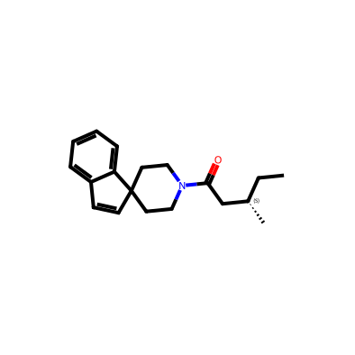 CC[C@H](C)CC(=O)N1CCC2(C=Cc3ccccc32)CC1